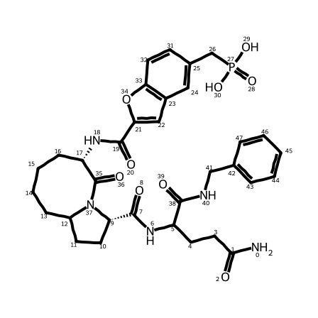 NC(=O)CCC(NC(=O)[C@@H]1CCC2CCCC[C@H](NC(=O)c3cc4cc(CP(=O)(O)O)ccc4o3)C(=O)N21)C(=O)NCc1ccccc1